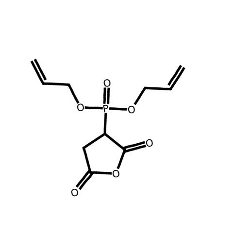 C=CCOP(=O)(OCC=C)C1CC(=O)OC1=O